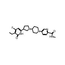 CCc1c(F)cc(C2CCN(C3CCN(c4ccc(C(=O)NC)nc4)CC3)C2)[nH]c1=O